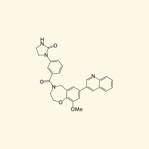 COc1cc(-c2cnc3ccccc3c2)cc2c1OCCN(C(=O)c1cccc(N3CCNC3=O)c1)C2